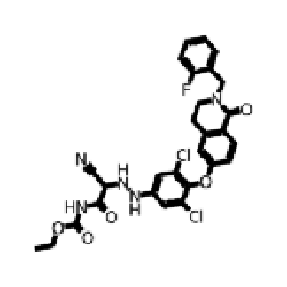 CCOC(=O)NC(=O)C(C#N)NNc1cc(Cl)c(Oc2ccc3c(c2)CCN(Cc2ccccc2F)C3=O)c(Cl)c1